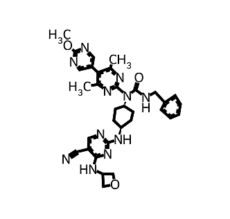 COc1ncc(-c2c(C)nc(N(C(=O)NCc3ccccc3)[C@H]3CC[C@H](Nc4ncc(C#N)c(NC5COC5)n4)CC3)nc2C)cn1